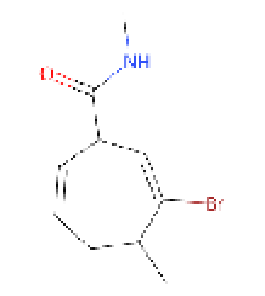 CNC(=O)C1C=CCC(C)C(Br)=C1